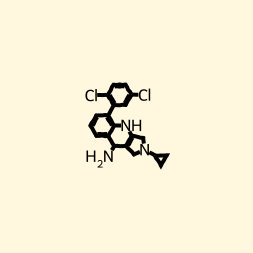 NC1C2=C(CN(C3CC3)C2)Nc2c(-c3cc(Cl)ccc3Cl)cccc21